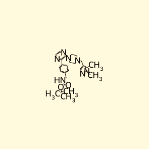 Cc1c(CN2CCN(c3nccnc3-c3ccc(CNC(=O)OC(C)(C)C)cc3)CC2)cnn1C